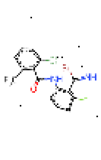 N=C(Br)c1c(F)cccc1NC(=O)c1c(Cl)cccc1C(F)(F)F